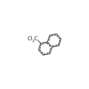 ClC(Cl)(Cl)c1cccc2ccccc12